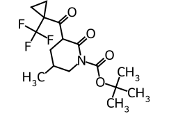 CC1CC(C(=O)C2(C(F)(F)F)CC2)C(=O)N(C(=O)OC(C)(C)C)C1